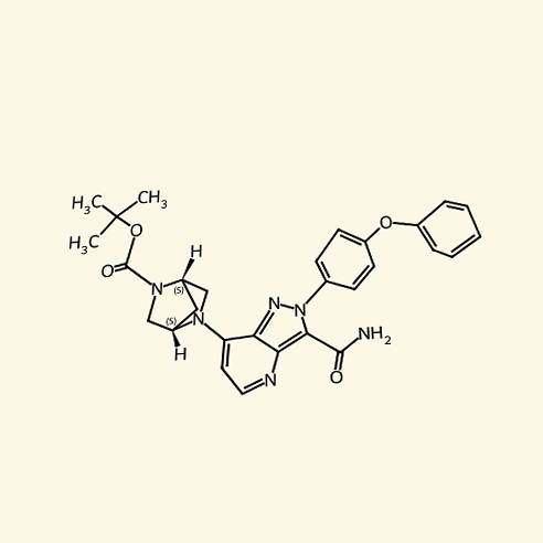 CC(C)(C)OC(=O)N1C[C@@H]2C[C@H]1CN2c1ccnc2c(C(N)=O)n(-c3ccc(Oc4ccccc4)cc3)nc12